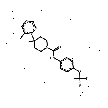 Cc1cccnc1C1(F)CCN(C(=O)Nc2ccc(OC(F)(F)F)cc2)CC1